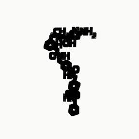 C[C@H](Cc1cccc(CC(=O)NCc2ccc(C(=O)NCc3ccc(S(=O)(=O)NCc4ccccc4)cc3)cc2)c1)NC[C@H](O)c1ccc(N)nc1